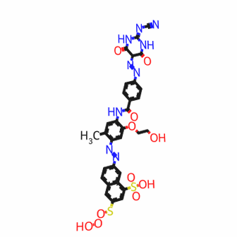 Cc1cc(NC(=O)c2ccc(/N=N/C3C(=O)NC(=NC#N)NC3=O)cc2)c(OCCO)cc1/N=N/c1ccc2cc(SOOO)cc(S(=O)(=O)O)c2c1